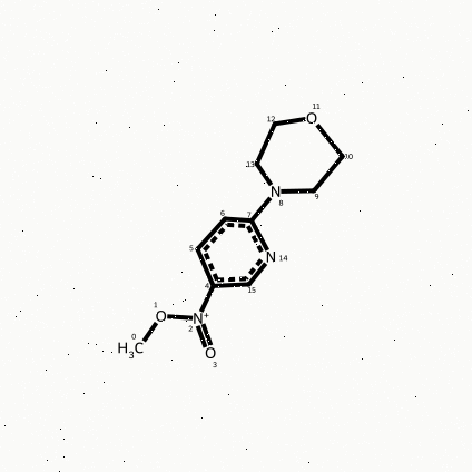 CO[N+](=O)c1ccc(N2CCOCC2)nc1